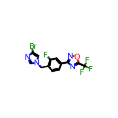 Fc1cc(-c2noc(C(F)(F)F)n2)ccc1Cn1cnc(Br)c1